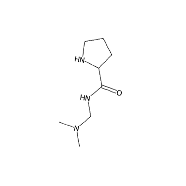 CN(C)CNC(=O)C1CCCN1